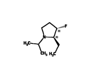 CC[C@@H]1[C@@H](F)CCN1C(C)C